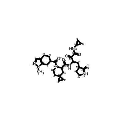 Cn1ncc2c1CC(C(=O)N1CCC3(CC3)CC1C(=O)NC(CC1CCNC1=O)C(=O)C(=O)NC1CC1)CC2